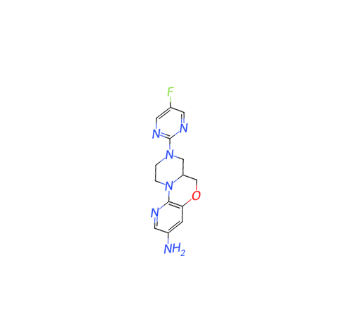 Nc1cnc2c(c1)OCC1CN(c3ncc(F)cn3)CCN21